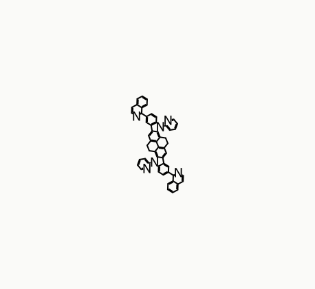 c1ccc(-n2c3ccc(-c4nccc5ccccc45)cc3c3cc4c5c(c32)CCc2cc3c6cc(-c7nccc8ccccc78)ccc6n(-c6ccccn6)c3c(c2-5)CC4)nc1